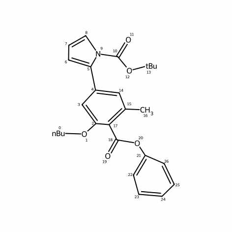 CCCCOc1cc(-c2cccn2C(=O)OC(C)(C)C)cc(C)c1C(=O)Oc1ccccc1